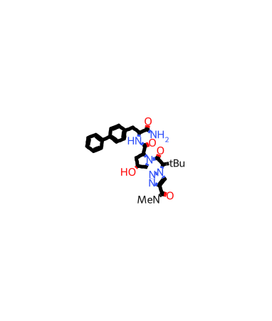 CNC(=O)c1cn(C(C(=O)N2CC(O)CC2C(=O)NC(Cc2ccc(-c3ccccc3)cc2)C(N)=O)C(C)(C)C)nn1